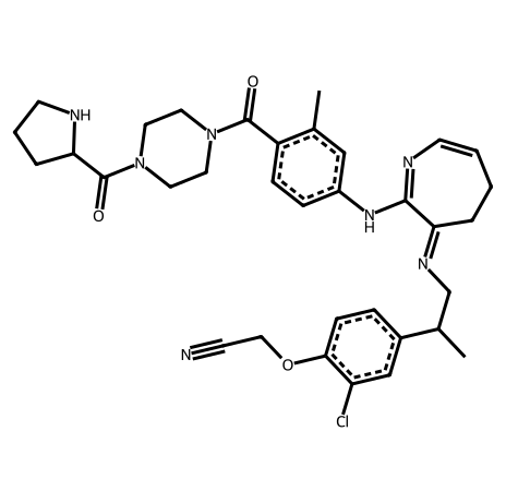 Cc1cc(NC2=NC=CCC/C2=N\CC(C)c2ccc(OCC#N)c(Cl)c2)ccc1C(=O)N1CCN(C(=O)C2CCCN2)CC1